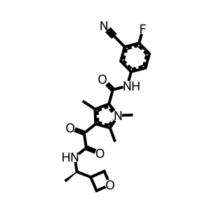 Cc1c(C(=O)C(=O)N[C@H](C)C2COC2)c(C)n(C)c1C(=O)Nc1ccc(F)c(C#N)c1